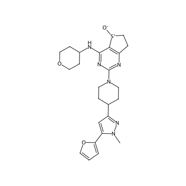 Cn1nc(C2CCN(c3nc4c(c(NC5CCOCC5)n3)[S+]([O-])CC4)CC2)cc1-c1ccco1